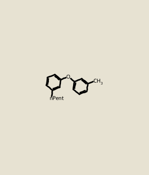 CCCCCc1cccc(Oc2cccc(C)c2)c1